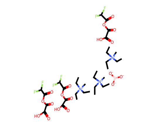 CC[N+](C)(CC)CC.CC[N+](C)(CC)CC.CC[N+](C)(CC)CC.O=C(O)C(=O)OC(=O)C(F)F.O=C(O)C(=O)OC(=O)C(F)F.O=C(O)C(=O)OC(=O)C(F)F.[O-]B([O-])[O-]